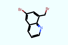 BrCc1cc(Br)cc2cccnc12